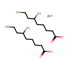 O=C([O-])CCCCC(S)CCS.O=C([O-])CCCCC(S)CCS.[Zn+2]